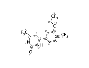 O=c1nc(C(F)(F)F)cc(-c2ccc(C(F)(F)F)c(OCC(F)(F)F)c2)[nH]1